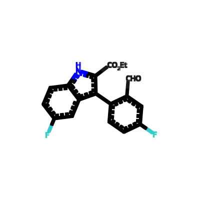 CCOC(=O)c1[nH]c2ccc(F)cc2c1-c1ccc(F)cc1C=O